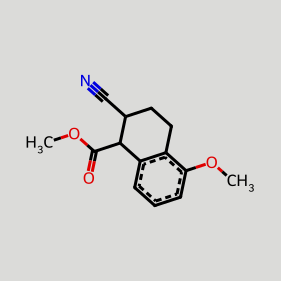 COC(=O)C1c2cccc(OC)c2CCC1C#N